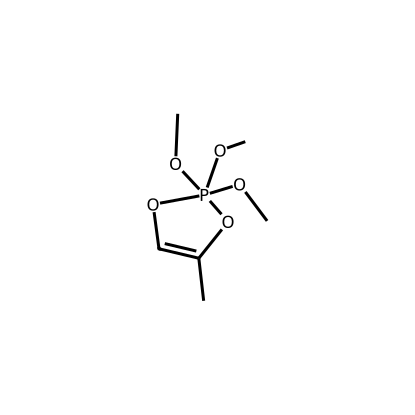 COP1(OC)(OC)OC=C(C)O1